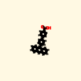 O=C(O)c1ccc(-c2ccc(-c3c4ccccc4cc4ccccc34)cc2)cc1